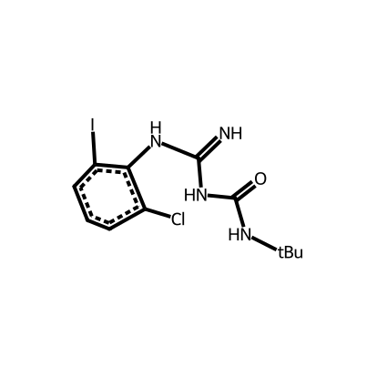 CC(C)(C)NC(=O)NC(=N)Nc1c(Cl)cccc1I